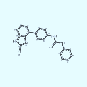 O=C(Nc1ccncc1)Nc1ccc(-c2ccnc3[nH]c(=O)[nH]c23)cc1